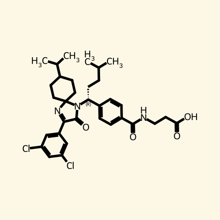 CC(C)CC[C@H](c1ccc(C(=O)NCCC(=O)O)cc1)N1C(=O)C(c2cc(Cl)cc(Cl)c2)=NC12CCC(C(C)C)CC2